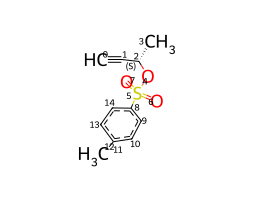 C#C[C@H](C)OS(=O)(=O)c1ccc(C)cc1